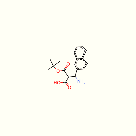 CC(C)(C)OC(=O)C(C(=O)O)C(N)c1ccc2ccccc2c1